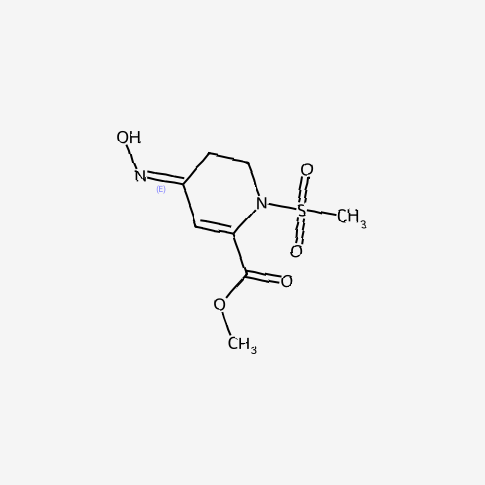 COC(=O)C1=C/C(=N/O)CCN1S(C)(=O)=O